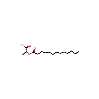 CCCCCCCCCCCCC(=O)OC(C)C(=O)O